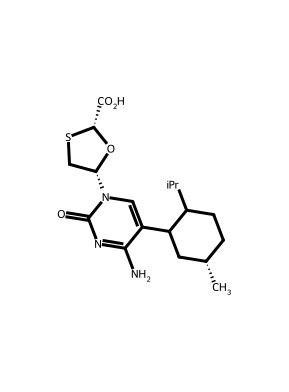 CC(C)C1CC[C@H](C)CC1c1cn([C@@H]2CS[C@H](C(=O)O)O2)c(=O)nc1N